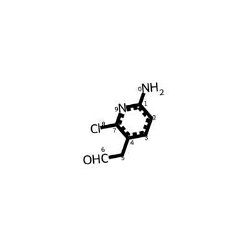 Nc1ccc(CC=O)c(Cl)n1